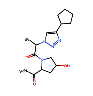 CNC(=O)C1CC(O)CN1C(=O)C(C(C)C)n1cc(C2CCCC2)nn1